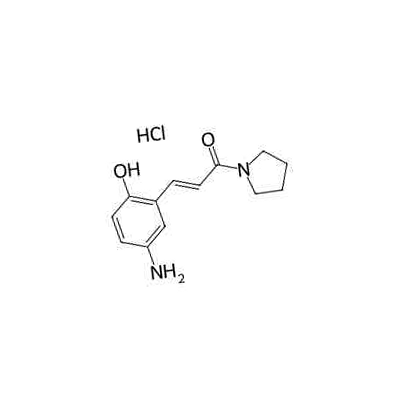 Cl.Nc1ccc(O)c(C=CC(=O)N2CCCC2)c1